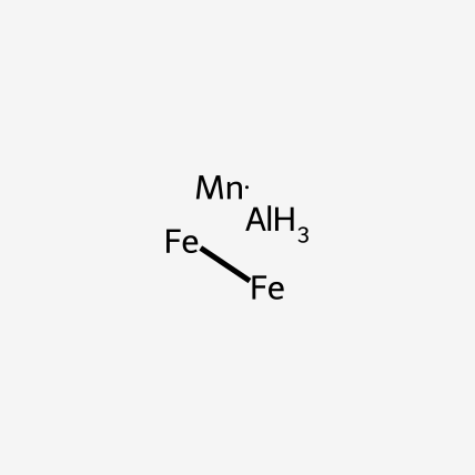 [AlH3].[Fe][Fe].[Mn]